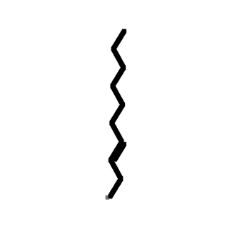 [CH2]C/C=C/CCCCCC